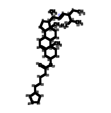 CCC(/C=C/[C@@H](C)C1CCC2C3CC=C4CC(OC(=O)CCCCC5CCSS5)CCC4(C)C3CCC21C)C(C)C